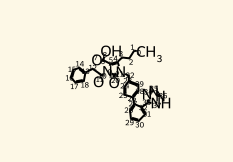 CCCCc1c(C(=O)O)n(C(=O)Cc2ccccc2)c(=O)n1Cc1ccc(-c2ccccc2-c2nnn[nH]2)cc1